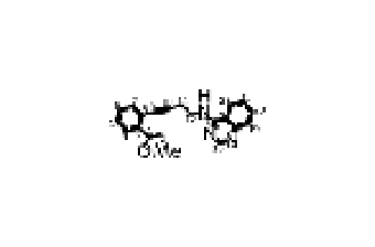 COC(C)c1ccccc1C#CCCNc1ncnc2ccccc12